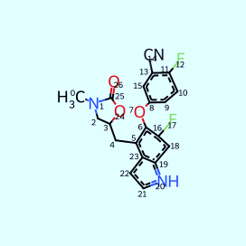 CN1CC(Cc2c(Oc3ccc(F)c(C#N)c3)c(F)cc3[nH]ccc23)OC1=O